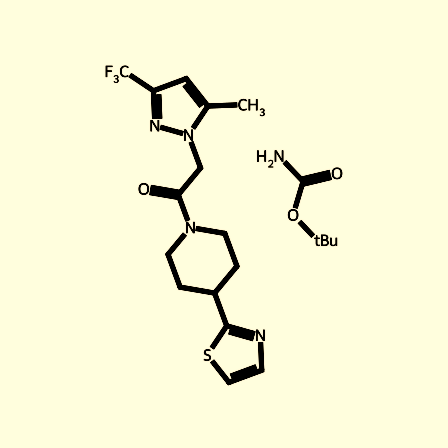 CC(C)(C)OC(N)=O.Cc1cc(C(F)(F)F)nn1CC(=O)N1CCC(c2nccs2)CC1